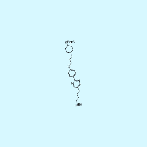 CCCCC[C@H]1CC[C@H](CCCOc2ccc(-c3ncc(CCCC[C@@H](C)CC)cn3)cc2)CC1